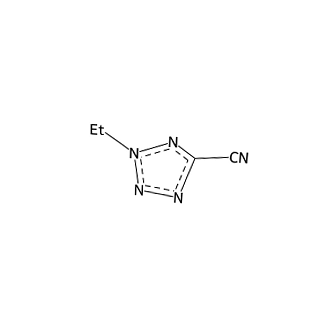 CCn1nnc(C#N)n1